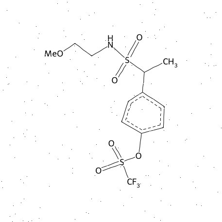 COCCNS(=O)(=O)C(C)c1ccc(OS(=O)(=O)C(F)(F)F)cc1